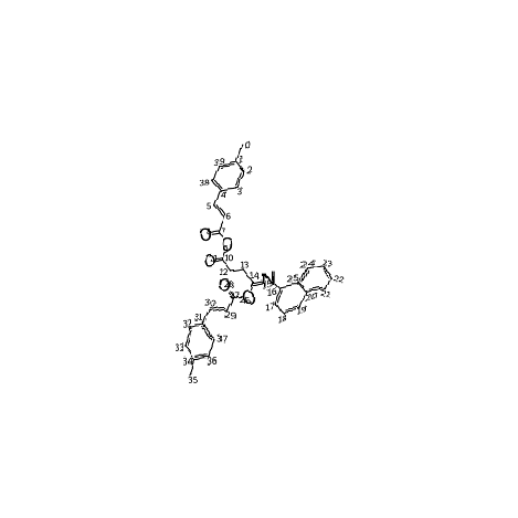 Cc1ccc(/C=C/C(=O)OC(=O)CCC(=Nc2cccc3ccccc23)OC(=O)/C=C/c2ccc(C)cc2)cc1